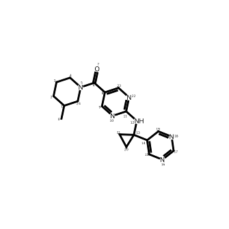 CC1CCCN(C(=O)c2cnc(NC3(c4cncnc4)CC3)nc2)C1